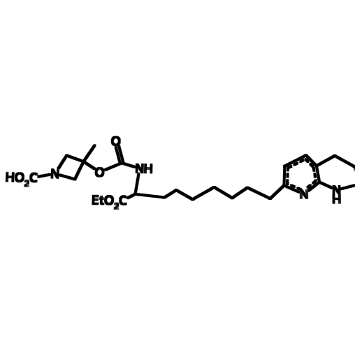 CCOC(=O)C(CCCCCCCc1ccc2c(n1)NCCC2)NC(=O)OC1(C)CN(C(=O)O)C1